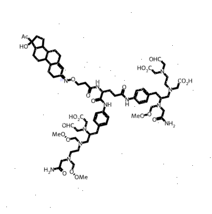 COOCN(CCN(COOC)CC(Cc1ccc(NC(=O)C(CCC(=O)Nc2ccc(CC(CN(CCN(CC=O)CC(=O)O)CC(=O)O)N(COOC)CC(N)=O)cc2)NC(=O)CCO/N=C2\C=C3CCC4C(CCC5C4CCC5(O)C(C)=O)C3CC2)cc1)N(CC=O)CC(=O)O)CC(N)=O